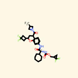 O=C(N[C@H](C(=O)Nc1ccc2c(c1)OC(C1CC(F)(F)C1)CC2C(=O)N1CC(C(F)(F)F)C1)C1CCCCCC1)OCC1CC1(F)F